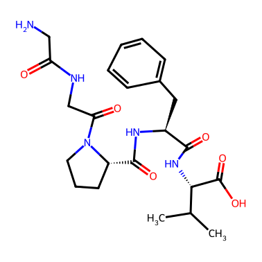 CC(C)[C@H](NC(=O)[C@H](Cc1ccccc1)NC(=O)[C@@H]1CCCN1C(=O)CNC(=O)CN)C(=O)O